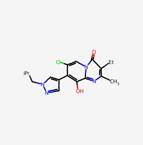 CCc1c(C)nc2c(O)c(-c3cnn(CC(C)C)c3)c(Cl)cn2c1=O